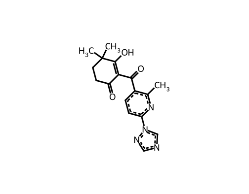 Cc1nc(-n2cncn2)ccc1C(=O)C1=C(O)C(C)(C)CCC1=O